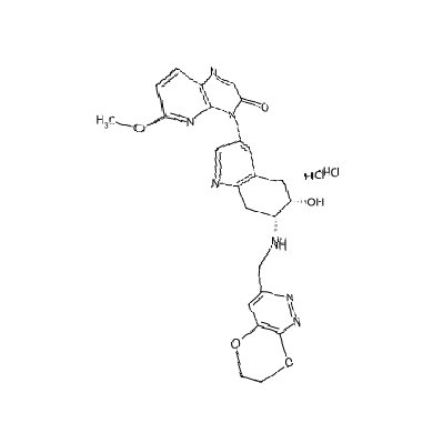 COc1ccc2ncc(=O)n(-c3cnc4c(c3)C[C@H](O)[C@H](NCc3cc5c(nn3)OCCO5)C4)c2n1.Cl.Cl